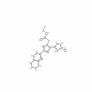 CCOC(=O)Cc1nc(-c2ccc3ccccc3n2)oc1-c1ccc(Cl)s1